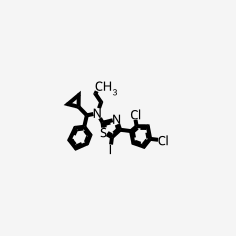 CCCN(c1nc(-c2ccc(Cl)cc2Cl)c(I)s1)C(c1ccccc1)C1CC1